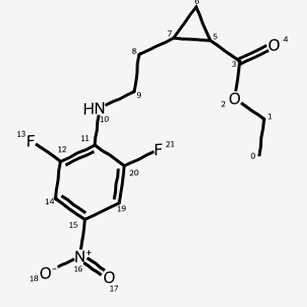 CCOC(=O)C1CC1CCNc1c(F)cc([N+](=O)[O-])cc1F